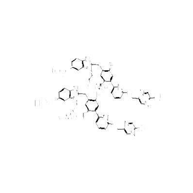 COCCn1c(Cc2cc(F)c(-c3cccc(OCc4cnc(Cl)cn4)n3)cc2F)nc2ccc(C(=O)O)cc21.COCCn1c(Cc2cc(F)c(-c3cccc(OCc4cnc(Cl)cn4)n3)cc2F)nc2ccc(C(=O)O)cc21